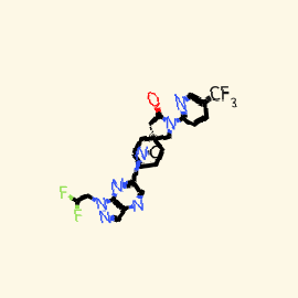 O=C1C[C@]2(CC3CCC2CN3c2cnc3cnn(CC(F)F)c3n2)CN1c1ccc(C(F)(F)F)cn1